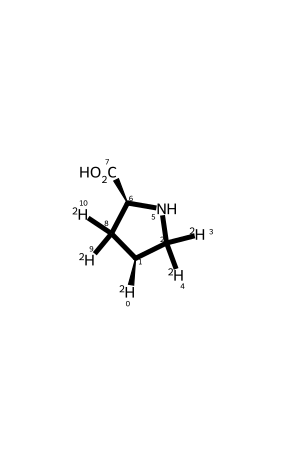 [2H][C@@H]1C([2H])([2H])N[C@H](C(=O)O)C1([2H])[2H]